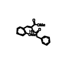 COC(=O)C(=Cc1ccccc1OC)NC(=O)Cc1ccccc1